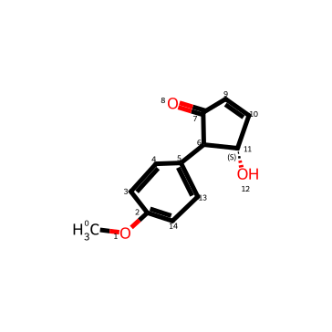 COc1ccc(C2C(=O)C=C[C@@H]2O)cc1